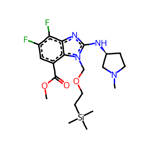 COC(=O)c1cc(F)c(F)c2nc(N[C@H]3CCN(C)C3)n(COCC[Si](C)(C)C)c12